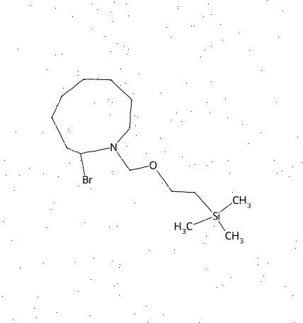 C[Si](C)(C)CCOCN1CCCCCCCC1Br